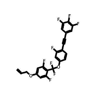 C=CCOc1cc(F)c(C(F)(F)Oc2ccc(C#Cc3cc(F)c(F)c(F)c3)c(F)c2)c(F)c1